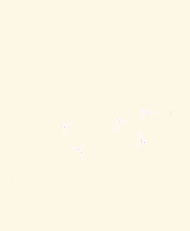 CCCCNc1nccc(-c2c(-c3ccc(F)cc3)nc3cc(CO)ccn23)n1